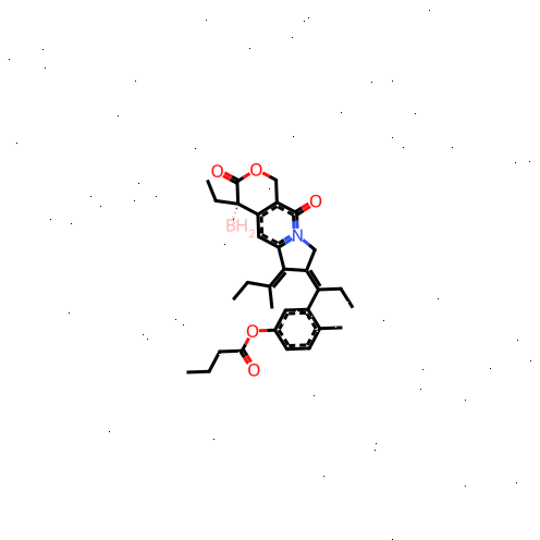 B[C@]1(CC)C(=O)OCc2c1cc1n(c2=O)CC(=C(\CC)c2cc(OC(=O)CCC)ccc2C)/C1=C(\C)CC